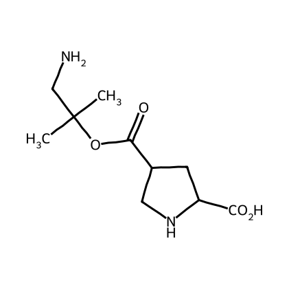 CC(C)(CN)OC(=O)C1CNC(C(=O)O)C1